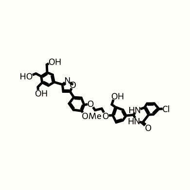 COc1ccc(-c2cc(-c3cc(CO)c(CO)c(CO)c3)no2)cc1OCCOc1ccc(C2NC(=O)c3cc(Cl)ccc3N2)cc1CO